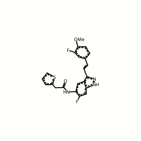 COc1ccc(C=Cc2n[nH]c3cc(F)c(NC(=O)Cc4cccs4)cc23)cc1F